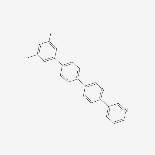 Cc1cc(C)cc(-c2ccc(-c3ccc(-c4cccnc4)nc3)cc2)c1